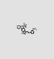 CS(=O)(=O)Nc1cc2c(/C=C/c3cccc([N+](=O)[O-])c3)n[nH]c2cc1N1CCOCC1